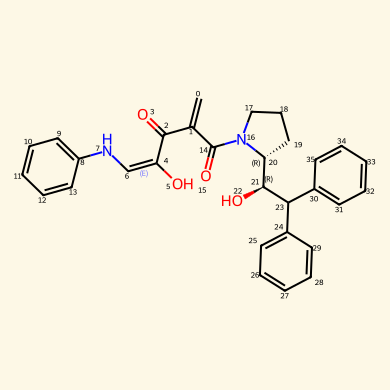 C=C(C(=O)/C(O)=C\Nc1ccccc1)C(=O)N1CCC[C@@H]1[C@H](O)C(c1ccccc1)c1ccccc1